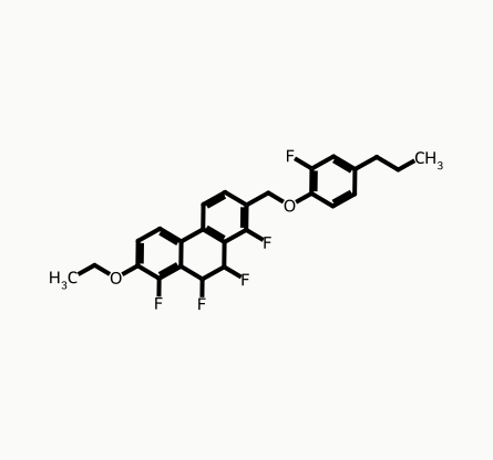 CCCc1ccc(OCc2ccc3c(c2F)C(F)C(F)c2c-3ccc(OCC)c2F)c(F)c1